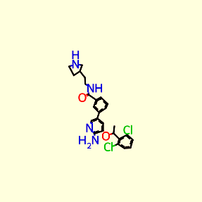 CC(Oc1cc(-c2cccc(C(=O)NCCC3CCNC3)c2)cnc1N)c1c(Cl)cccc1Cl